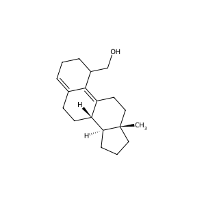 C[C@@]12CCC[C@H]1[C@@H]1CCC3=CCCC(CO)C3=C1CC2